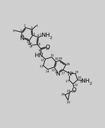 Cc1cc(C)c2c(N)c(C(=O)NC3CCc4nc(N5CC(N)C(OC6CC6)C5)ccc4C3)sc2n1